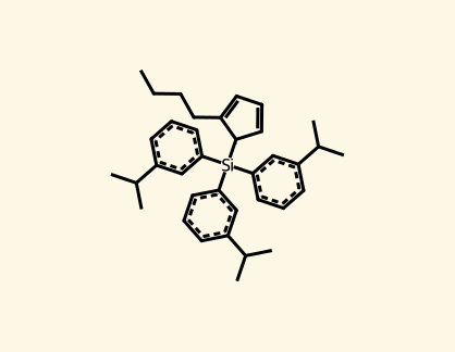 CCCCC1=CC=C[C]1[Si](c1cccc(C(C)C)c1)(c1cccc(C(C)C)c1)c1cccc(C(C)C)c1